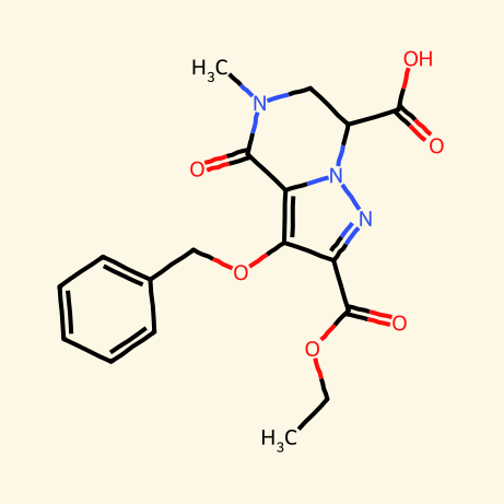 CCOC(=O)c1nn2c(c1OCc1ccccc1)C(=O)N(C)CC2C(=O)O